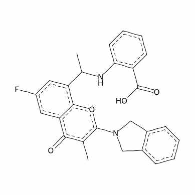 Cc1c(N2Cc3ccccc3C2)oc2c(C(C)Nc3ccccc3C(=O)O)cc(F)cc2c1=O